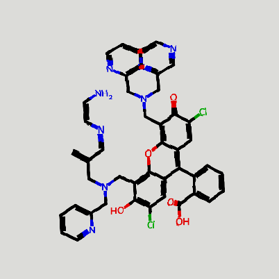 C=C(/C=N\C=C/N)CN(Cc1ccccn1)Cc1c(O)c(Cl)cc2c(-c3ccccc3C(=O)O)c3cc(Cl)c(=O)c(CN(Cc4ccccn4)Cc4cnccn4)c-3oc12